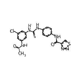 CC(=O)Nc1cc(Cl)cc(NC(=S)Nc2ccc(NC(=O)c3csnn3)cc2)c1